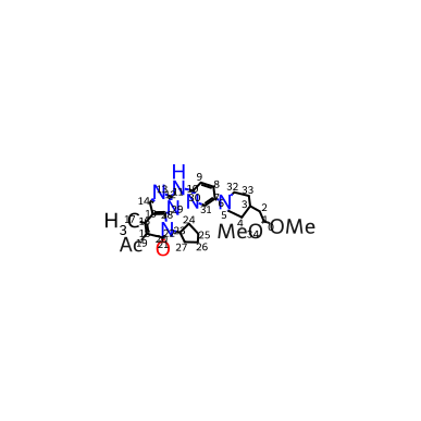 COC(CC1CCN(c2ccc(Nc3ncc4c(C)c(C(C)=O)c(=O)n(C5CCCC5)c4n3)nc2)CC1)OC